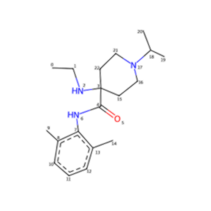 CCNC1(C(=O)Nc2c(C)cccc2C)CCN(C(C)C)CC1